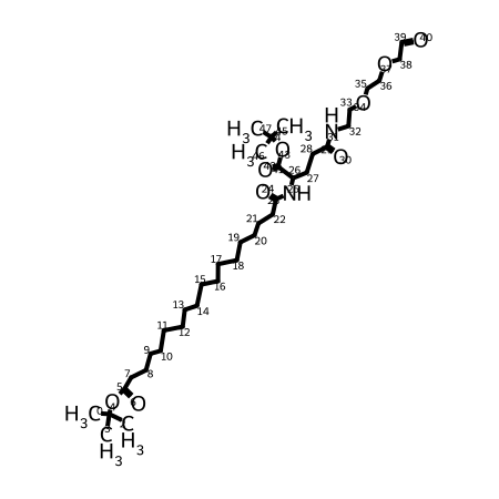 CC(C)(C)OC(=O)CCCCCCCCCCCCCCCCC(=O)NC(CCC(=O)NCCOCCOCC=O)C(=O)OC(C)(C)C